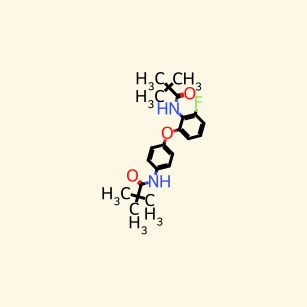 CC(C)(C)C(=O)Nc1ccc(Oc2cccc(F)c2NC(=O)C(C)(C)C)cc1